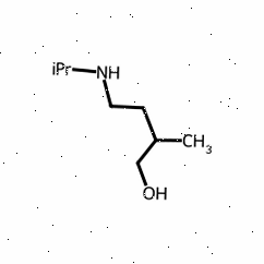 CC(CO)CCNC(C)C